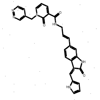 O=C1Nc2cc(/C=C/CNC(=O)c3cccn(Cc4ccnnc4)c3=O)ccc2/C1=C/c1ccc[nH]1